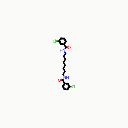 O=C(NCCCCCCCCNC(=O)c1cccc(Cl)c1)c1cccc(Cl)c1